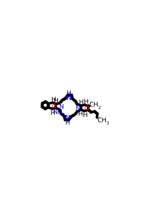 C=C1/C(=C\C=C/CC)[C@H]2O[C@@H]1[C@H]1c3cc4ccc(cc5nc(cc6ccc(cc(n3)[C@H]12)[nH]6)[C@@]1(N)[C@@H]2O[C@@H](c3ccccc32)[C@@H]51)[nH]4